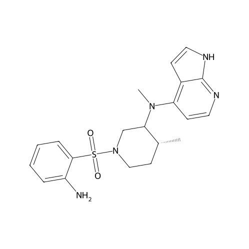 C[C@@H]1CCN(S(=O)(=O)c2ccccc2N)CC1N(C)c1ccnc2[nH]ccc12